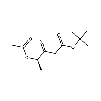 CC(=O)O[C@H](C)C(=N)CC(=O)OC(C)(C)C